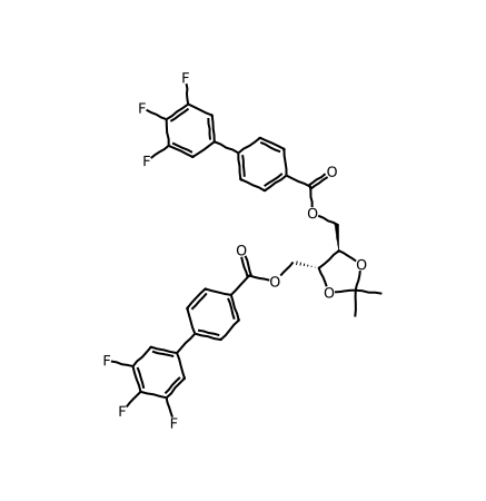 CC1(C)O[C@H](COC(=O)c2ccc(-c3cc(F)c(F)c(F)c3)cc2)[C@@H](COC(=O)c2ccc(-c3cc(F)c(F)c(F)c3)cc2)O1